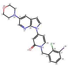 O=c1cc(-n2ccc3cc(N4CCOCC4)cnc32)ccn1Cc1cccc(I)c1F